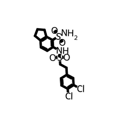 NS(=O)(=O)c1c(NS(=O)(=O)CCc2ccc(Cl)c(Cl)c2)ccc2c1CCC2